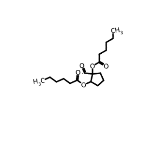 CCCCCC(=O)OC1CCCC1([C]=O)OC(=O)CCCCC